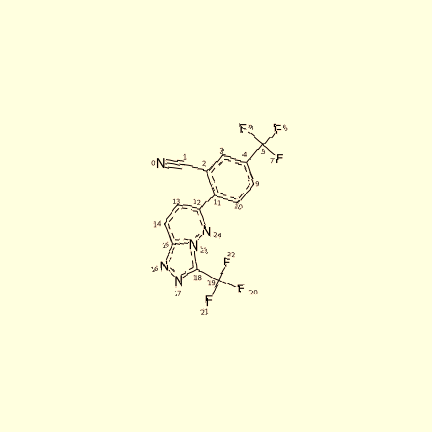 N#Cc1cc(C(F)(F)F)ccc1-c1ccc2nnc(C(F)(F)F)n2n1